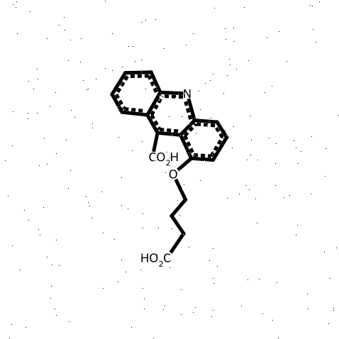 O=C(O)CCCOc1cccc2nc3ccccc3c(C(=O)O)c12